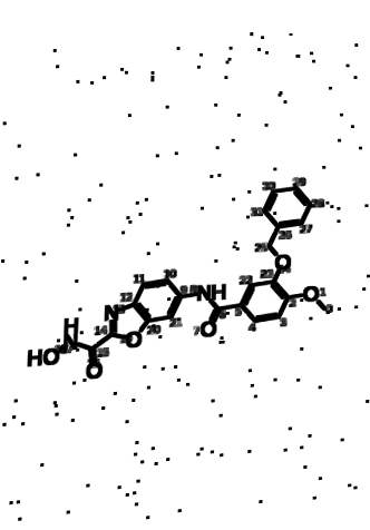 COc1ccc(C(=O)Nc2ccc3nc(C(=O)NO)oc3c2)cc1OCc1ccccc1